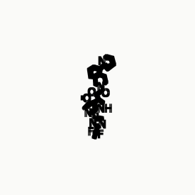 COc1cnc(-n2cnc(C(C)(F)F)n2)c2c1C(C(=O)C(=O)N1CCc3c(cccc3-c3ccccn3)C1)CN2